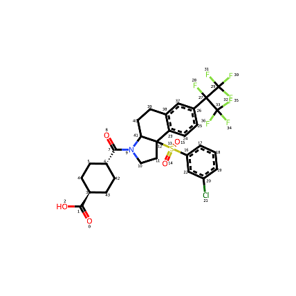 O=C(O)[C@H]1CC[C@H](C(=O)N2CCC3(S(=O)(=O)c4cccc(Cl)c4)c4ccc(C(F)(C(F)(F)F)C(F)(F)F)cc4CCC23)CC1